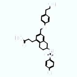 O=C(O)CCc1cc(COc2ccc(CCO)cc2)cc2c1CCC(NS(=O)(=O)c1ccc(Cl)cc1)C2